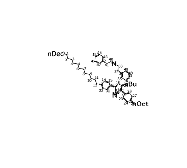 CCCCCCCCCCCCCCCCCCCCCCc1ccc(C2=CC(CCCC)=C(c3ccc(CCCCCCCC)cc3)[N+]2=[N-])cc1.c1ccc(C[CH2][Ni][CH2]Cc2ccccc2)cc1